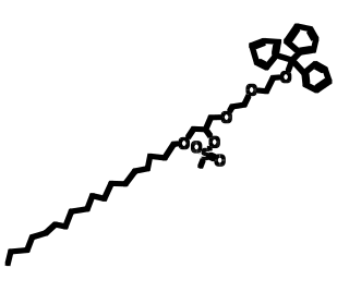 CCCCCCCCCCCCCCCCCCOCC(COCCOCCOC(c1ccccc1)(c1ccccc1)c1ccccc1)OS(C)(=O)=O